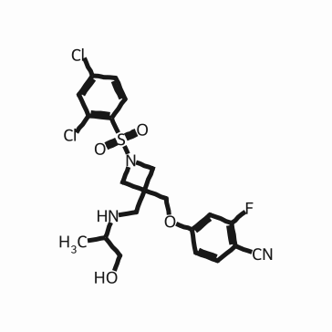 CC(CO)NCC1(COc2ccc(C#N)c(F)c2)CN(S(=O)(=O)c2ccc(Cl)cc2Cl)C1